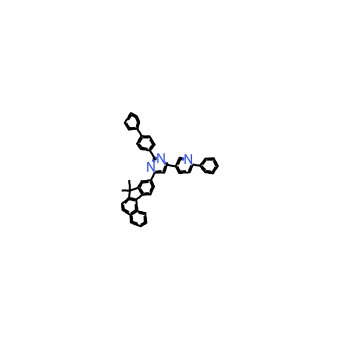 CC1(C)c2cc(-c3cc(-c4ccc(-c5ccccc5)nc4)nc(-c4ccc(-c5ccccc5)cc4)n3)ccc2-c2c1ccc1ccccc21